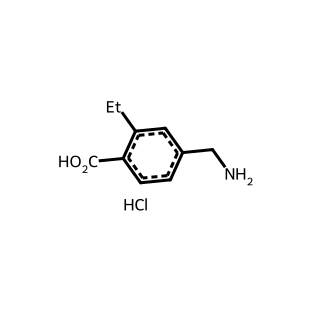 CCc1cc(CN)ccc1C(=O)O.Cl